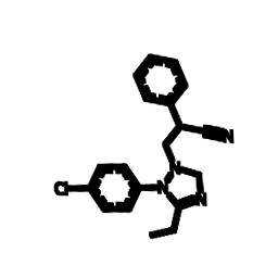 CCC1=NCN(CC(C#N)c2ccccc2)N1c1ccc(Cl)cc1